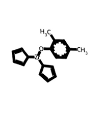 Cc1ccc([O][Zr]([CH]2C=CC=C2)[CH]2C=CC=C2)c(C)c1